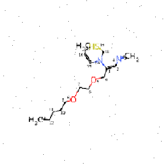 C=N/C=C(/COCCOCCCCC)N(/C=C\C)CS